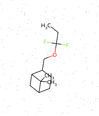 CCC(F)(F)OCC1CCC2CC1C2(C)C